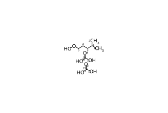 CC(C)CCCOO.O=C(O)O.O=C(O)O